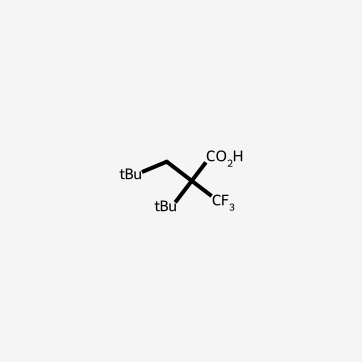 CC(C)(C)CC(C(=O)O)(C(C)(C)C)C(F)(F)F